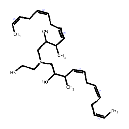 C/C=C\C/C=C\C/C=C\C(C)C(O)CN(CCS)CC(O)C(C)/C=C\C/C=C\C/C=C\C